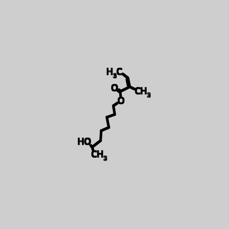 CC=C(C)C(=O)OCCCCCCC(C)O